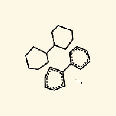 C1CCC(C2CCCCC2)CC1.P.c1ccc(-c2ccccc2)cc1